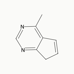 Cc1ncnc2c1C=CC2